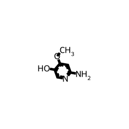 COc1cc(N)ncc1O